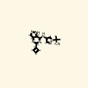 CC(C)(C#N)n1cc(Nc2nc(C3=CC=C3)nc3cn[nH]c23)cn1